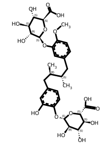 COc1ccc(C[C@H](C)[C@H](C)Cc2ccc(O[C@@H]3O[C@H](C(=O)O)[C@@H](O)[C@H](O)[C@H]3O)c(O)c2)cc1O[C@@H]1O[C@H](C(=O)O)[C@@H](O)[C@H](O)[C@H]1O